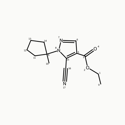 CCOC(=O)c1cnn(C2(C)CCCC2)c1C#N